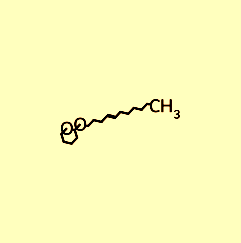 CCCCCCC=CCCCOC1CCCCO1